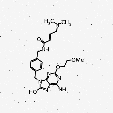 COCCOc1nc(N)c2nc(O)n(Cc3ccc(CNC(=O)/C=C/CN(C)C)cc3)c2n1